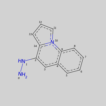 NNc1cc2ccccc2n2cccc12